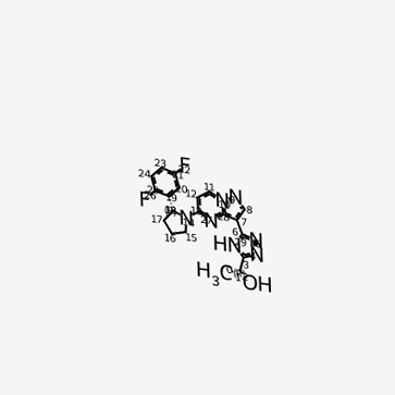 C[C@@H](O)c1nnc(-c2cnn3ccc(N4CCC[C@@H]4c4cc(F)ccc4F)nc23)[nH]1